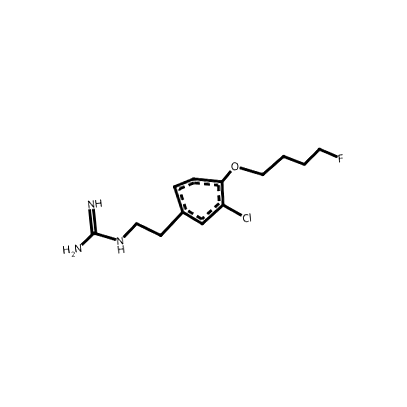 N=C(N)NCCc1ccc(OCCCCF)c(Cl)c1